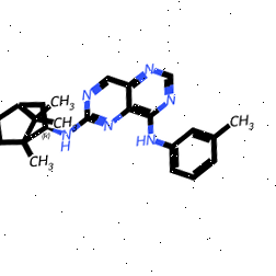 Cc1cccc(Nc2ncnc3cnc(N[C@@H]4CC5CCC4(C)C5(C)C)nc23)c1